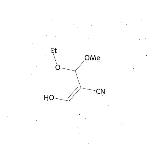 CCOC(OC)/C(C#N)=C\O